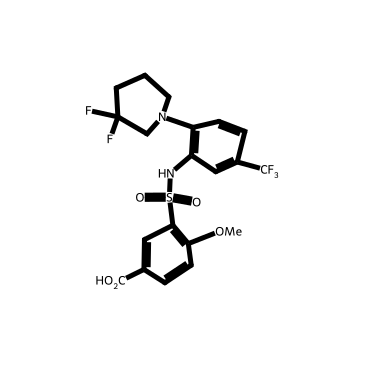 COc1ccc(C(=O)O)cc1S(=O)(=O)Nc1cc(C(F)(F)F)ccc1N1CCCC(F)(F)C1